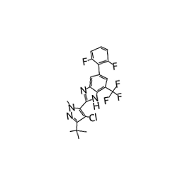 Cn1nc(C(C)(C)C)c(Cl)c1-c1nc2cc(-c3c(F)cccc3F)cc(C(F)(F)F)c2[nH]1